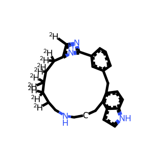 [2H]c1nc2[nH]c1C([2H])([2H])C([2H])([2H])C([2H])([2H])C([2H])([2H])C([2H])CNCCCc1c(ccc3[nH]ccc13)Cc1cccc-2c1